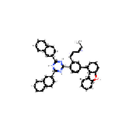 C/C=C\C=C/c1cc(-c2cccc3oc4ccccc4c23)ccc1-c1nc(-c2ccc3ccccc3c2)nc(-c2ccc3ccccc3c2)n1